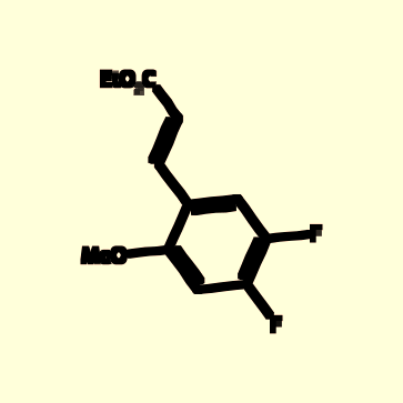 CCOC(=O)C=Cc1cc(F)c(F)cc1OC